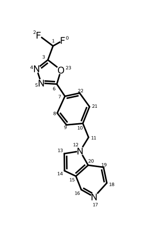 FC(F)c1nnc(-c2ccc(Cn3ccc4cnccc43)cc2)o1